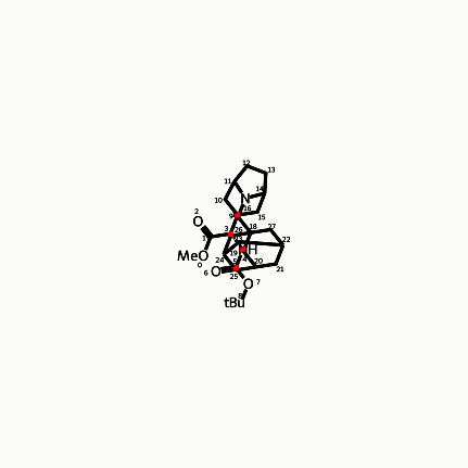 COC(=O)[C@@H](NC(=O)OC(C)(C)C)C1CC2CCC(C1)N2CC12CC3CC(CC(C3)C1)C2